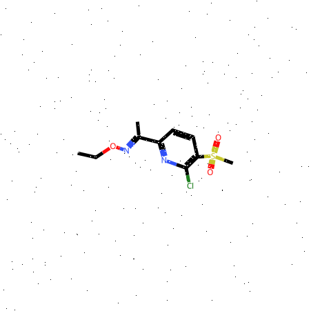 CCON=C(C)c1ccc(S(C)(=O)=O)c(Cl)n1